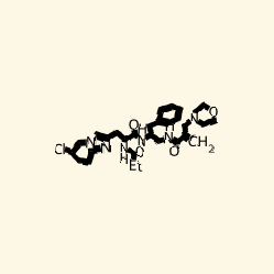 C=C(CN1CCOCC1)C(=O)NCC(Cc1ccccc1)NC(=O)C(Cc1cn2cc(Cl)ccc2n1)NC(=O)CC